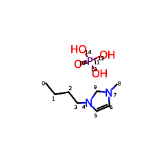 CCCCN1C=CN(C)C1.O=P(O)(O)O